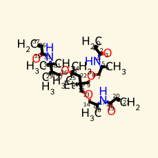 C=CC(=O)NC(C)COCC(CC)(COCC(C)NC(=O)C=C)CC(C)(C)OCC(C)C(C)(C)NC(=O)C=C